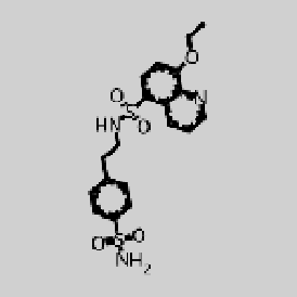 CCOc1ccc(S(=O)(=O)NCCc2ccc(S(N)(=O)=O)cc2)c2cccnc12